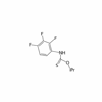 CC(C)OC(=S)Nc1ccc(F)c(F)c1F